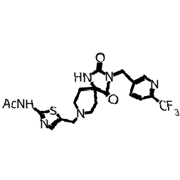 CC(=O)Nc1ncc(CN2CCC3(CC2)NC(=O)N(Cc2ccc(C(F)(F)F)nc2)C3=O)s1